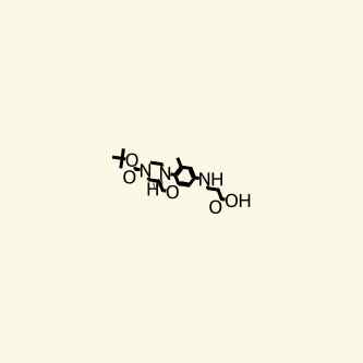 Cc1cc(NCCC(=O)O)cc2c1N1CCN(C(=O)OC(C)(C)C)C[C@H]1CO2